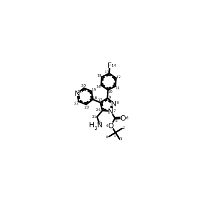 CC(C)(C)OC(=O)n1nc(-c2ccc(F)cc2)c(-c2ccncc2)c1CN